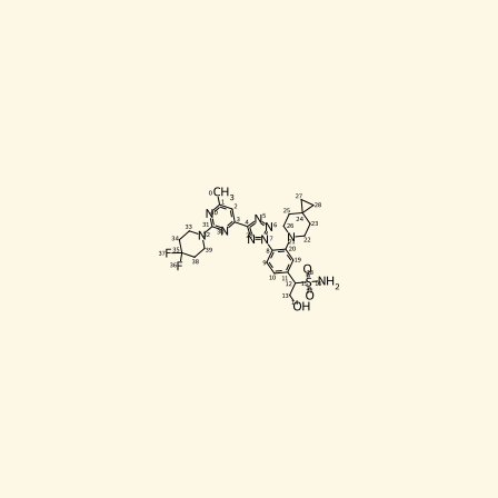 Cc1cc(-c2nnn(-c3ccc(C(CO)S(N)(=O)=O)cc3N3CCC4(CC3)CC4)n2)nc(N2CCC(F)(F)CC2)n1